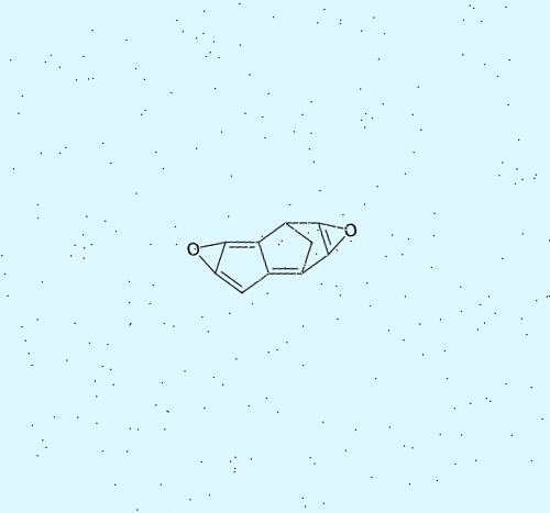 C1=C2OC2=C2C1=C1CC2C2=C1O2